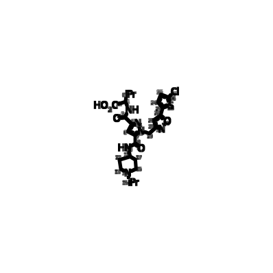 CC(C)C(NC(=O)c1cc(C(=O)NC2CCN(C(C)C)CC2)n(Cc2cc(-c3ccc(Cl)s3)on2)n1)C(=O)O